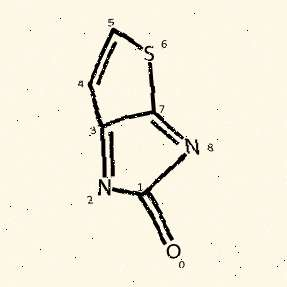 O=C1N=c2ccsc2=N1